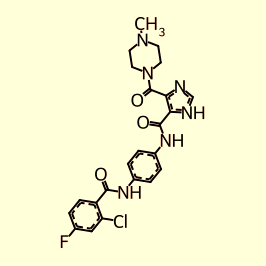 CN1CCN(C(=O)c2nc[nH]c2C(=O)Nc2ccc(NC(=O)c3ccc(F)cc3Cl)cc2)CC1